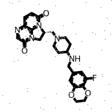 O=c1cnc2ccc(=O)n3c2n1C[C@H]3CN1CCC(NCc2cc(F)c3c(c2)OCCO3)CC1